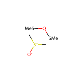 CSOSC.C[S+](C)[O-]